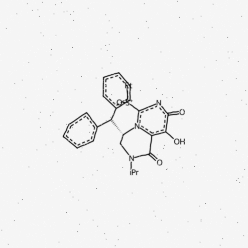 CC[S+]([O-])c1nc(=O)c(O)c2n1[C@@H](C(c1ccccc1)c1ccccc1)CN(C(C)C)C2=O